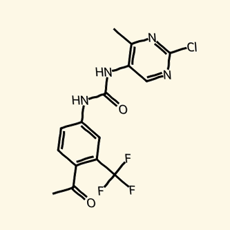 CC(=O)c1ccc(NC(=O)Nc2cnc(Cl)nc2C)cc1C(F)(F)F